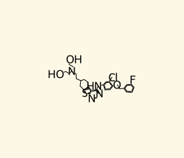 OCCN(CCO)CCC1CCc2c(sc3ncnc(Nc4ccc(OCc5cccc(F)c5)c(Cl)c4)c23)C1